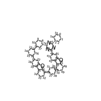 c1ccc(-c2nc(-c3cccc(-c4cccc(-c5ccc6c(c5)oc5c(-c7ccccc7)cccc56)c4)c3)nc(-c3ccc4c(c3)oc3ccccc34)n2)cc1